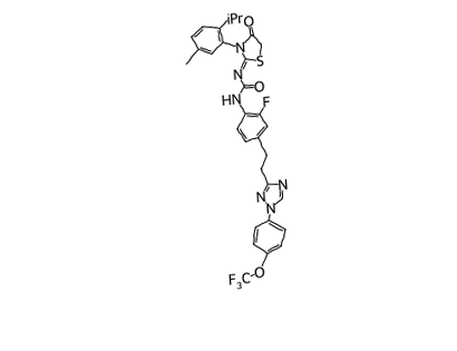 Cc1ccc(C(C)C)c(N2C(=O)CS/C2=N\C(=O)Nc2ccc(CCc3ncn(-c4ccc(OC(F)(F)F)cc4)n3)cc2F)c1